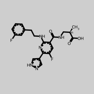 C[C@H](CNC(=O)c1cc(F)c(-c2cn[nH]c2)nc1NCCc1cccc(F)c1)C(=O)O